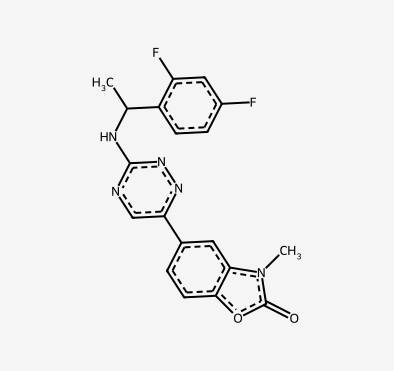 CC(Nc1ncc(-c2ccc3oc(=O)n(C)c3c2)nn1)c1ccc(F)cc1F